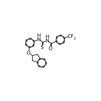 O=C(NC(=S)Nc1cccc(OC2Cc3ccccc3C2)c1)c1ccc(C(F)(F)F)cc1